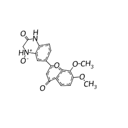 COc1ccc2c(=O)cc(-c3ccc4c(c3)[NH+]([O-])CC(=O)N4)oc2c1OC